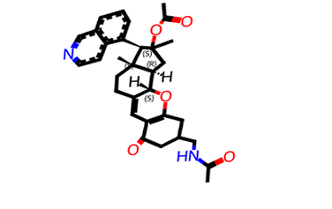 CC(=O)NCC1CC(=O)C2=C(C1)O[C@@H]1C(=C2)CC[C@@]2(C)[C@H]1CC(C)(OC(C)=O)[C@@H]2c1cccc2cnccc12